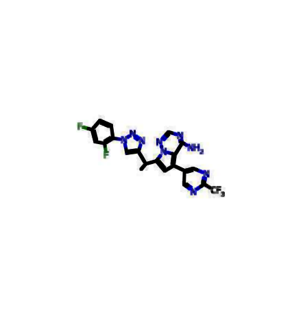 CC(c1cn(-c2ccc(F)cc2F)nn1)c1cc(-c2cnc(C(F)(F)F)nc2)c2c(N)ncnn12